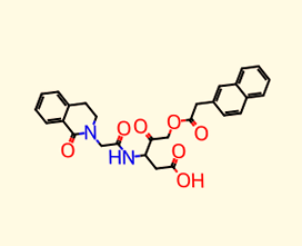 O=C(O)CC(NC(=O)CN1CCc2ccccc2C1=O)C(=O)COC(=O)Cc1ccc2ccccc2c1